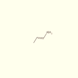 CC=[CH][AlH2]